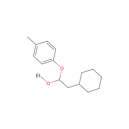 CCOC(CC1CCCCC1)Oc1ccc(C)cc1